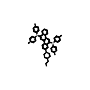 CCCC1CCC(c2ccc3c(c2)c(N(c2ccc(C)cc2)c2ccc(C)cc2)cc2c4ccccc4c(N(c4ccc(C)cc4)c4ccc(C)cc4)cc32)CC1